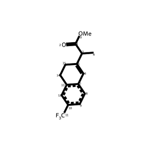 COC(=O)C(C)C1=Cc2ccc(C(F)(F)F)cc2CC1